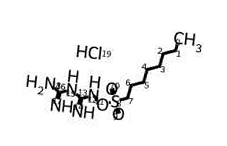 CCCCCCCCS(=O)(=O)ONC(=N)NC(=N)N.Cl